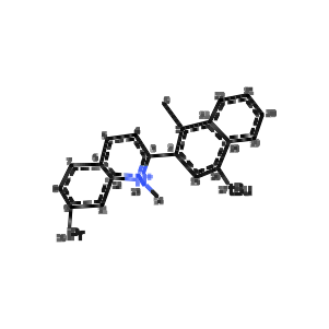 Cc1c(-c2ccc3ccc(C(C)C)cc3[n+]2C)cc(C(C)(C)C)c2ccccc12